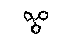 C1=CCCC=1P(c1ccccc1)c1ccccc1